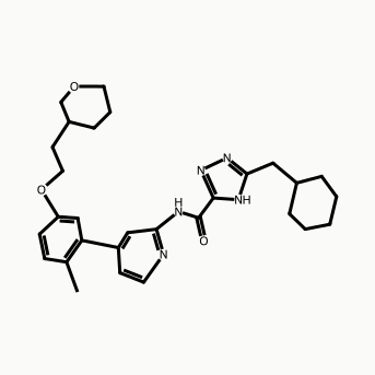 Cc1ccc(OCCC2CCCOC2)cc1-c1ccnc(NC(=O)c2nnc(CC3CCCCC3)[nH]2)c1